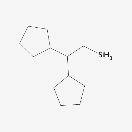 [SiH3]CC(C1CCCC1)C1CCCC1